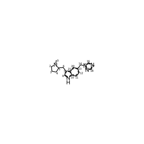 CN1CCCC1Cc1c[nH]c2ccc(Cn3cncn3)cc12